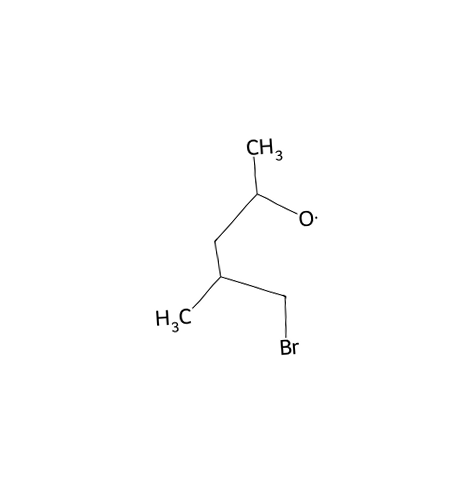 CC([O])CC(C)CBr